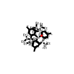 CCN(CC)P(c1cc(C)ccc1N(c1ccc(C)cc1[PH](S)(N(CC)CC)N(CC)CC)c1ccc(C)cc1[PH](S)(N(CC)CC)N(CC)CC)N(CC)CC